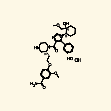 COC[C@]1(O)CCCC[C@H]1n1cnc(C(=O)N2CCNC[C@H]2CCOc2ccc(C(N)=O)cc2OC)c1-c1ccccc1.Cl.Cl